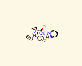 CC(C)(C)N(C(=O)O)C1(C(=O)Nn2cccc2)CC1